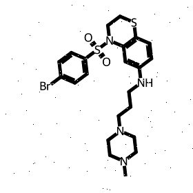 CN1CCN(CCCNc2ccc3c(c2)N(S(=O)(=O)c2ccc(Br)cc2)CCS3)CC1